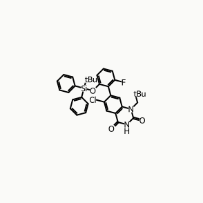 CC(C)(C)Cn1c(=O)[nH]c(=O)c2cc(Cl)c(-c3c(F)cccc3O[Si](c3ccccc3)(c3ccccc3)C(C)(C)C)cc21